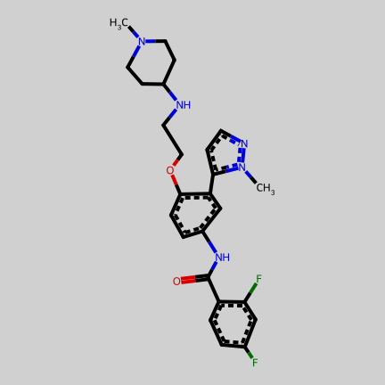 CN1CCC(NCCOc2ccc(NC(=O)c3ccc(F)cc3F)cc2-c2ccnn2C)CC1